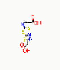 O=C(O)Cc1nnc(Sc2ncc(C(=O)O)s2)s1